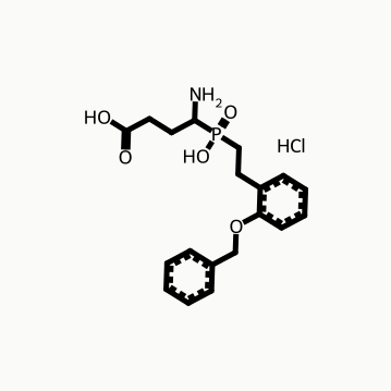 Cl.NC(CCC(=O)O)P(=O)(O)CCc1ccccc1OCc1ccccc1